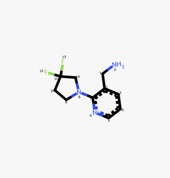 NCc1cccnc1N1CCC(F)(F)C1